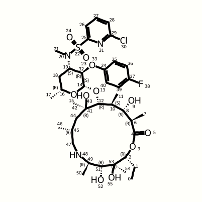 CC[C@H]1OC(=O)[C@H](C)[C@@H](O)[C@H](C)[C@@H](O[C@@H]2O[C@H](C)C[C@H](N(C)S(=O)(=O)c3cccc(Cl)n3)[C@H]2Oc2ccc(F)cc2)[C@](C)(O)C[C@@H](C)CN[C@H](C)[C@@H](O)[C@]1(C)O